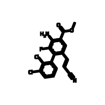 COC(=O)c1cc(/C=C/C#N)c(-c2cccc(Cl)c2Cl)c(F)c1N